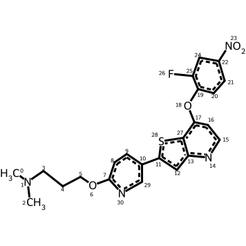 CN(C)CCCOc1ccc(-c2cc3nccc(Oc4ccc([N+](=O)[O-])cc4F)c3s2)cn1